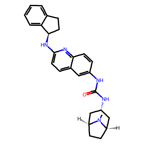 CN1[C@@H]2CC[C@H]1C[C@H](NC(=O)Nc1ccc3nc(N[C@@H]4CCc5ccccc54)ccc3c1)C2